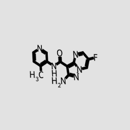 Cc1ccncc1NC(=O)c1c(N)nn2cc(F)cnc12